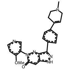 COc1ccncc1-n1nc2c(-c3ccc(C4=CCN(C)CC4)cc3)n[nH]c2cc1=O